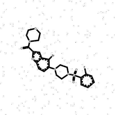 O=C(c1cc2c(Br)c(N3CCN(S(=O)(=O)c4ccccc4F)CC3)ccc2o1)N1CCOCC1